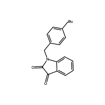 CCC(C)c1ccc(CN2C(=O)C(=O)c3ccccc32)cc1